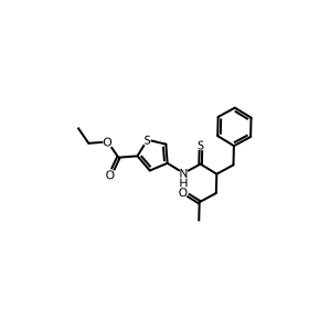 CCOC(=O)c1cc(NC(=S)C(CC(C)=O)Cc2ccccc2)cs1